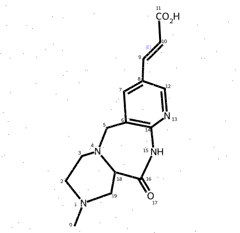 CN1CCN2Cc3cc(/C=C/C(=O)O)cnc3NC(=O)C2C1